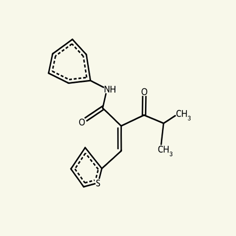 CC(C)C(=O)C(=Cc1cccs1)C(=O)Nc1ccccc1